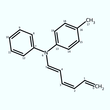 C=C/C=C\C=C\N(c1ccccc1)c1ccc(C)cc1